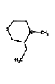 [CH2]CC1CSCCN1C